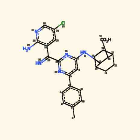 Cc1ccc(-c2cc(NC3C4CCC(CC4)C3C(=O)O)nc(C(=N)c3cc(Cl)cnc3N)n2)cc1